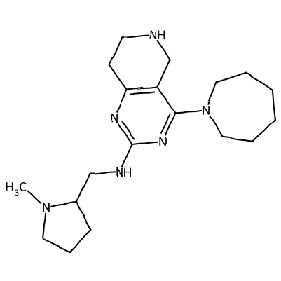 CN1CCCC1CNc1nc2c(c(N3CCCCCC3)n1)CNCC2